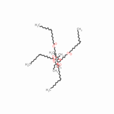 CCCCCCCC/C=C\CCCCCCCC(=O)OCCCCCCC[CH](OC(=O)CCCCCCC/C=C\CCCCCCCC)[Ti]([C](=O)C(CC)CCCC)([C](=O)C(CC)CCCC)[CH](CCCCCCCOC(=O)CCCCCCC/C=C\CCCCCCCC)OC(=O)CCCCCCC/C=C\CCCCCCCC